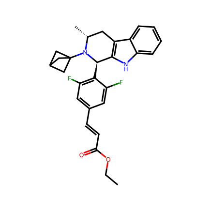 CCOC(=O)/C=C/c1cc(F)c([C@@H]2c3[nH]c4ccccc4c3C[C@@H](C)N2C23CC(C2)C3)c(F)c1